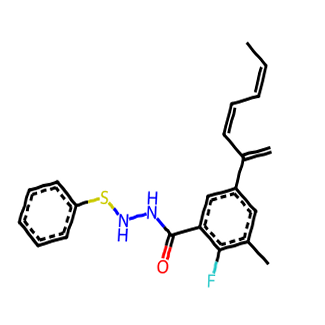 C=C(/C=C\C=C/C)c1cc(C)c(F)c(C(=O)NNSc2ccccc2)c1